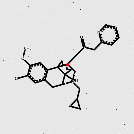 COc1cc2c(cc1Cl)CC1N(CC3CC3)CCC23CCN(C(=O)Cc2ccccn2)CCC13O